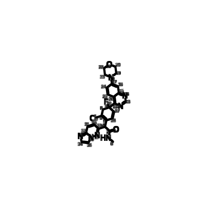 CNC(=O)C(C1=C(Cl)CC(F)(c2ncnc3cc(N4CCOCC4)ccc23)C=C1)c1ccc2nccn2n1